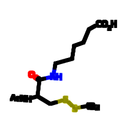 CC(=O)NC(CSSC(C)(C)C)C(=O)NCCCCCC(=O)O